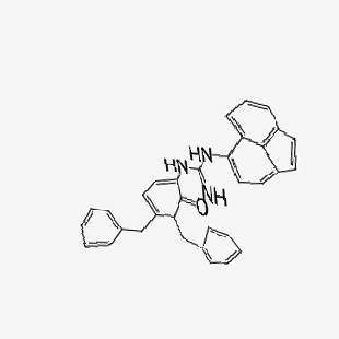 N=C(NC1=CC=C(Cc2ccccc2)C(Cc2ccccc2)C1=O)Nc1ccc2c3c(cccc13)C=C2